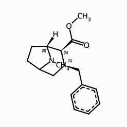 COC(=O)[C@H]1[C@@H](Cc2ccccc2)CC2CC[C@H]1N2C